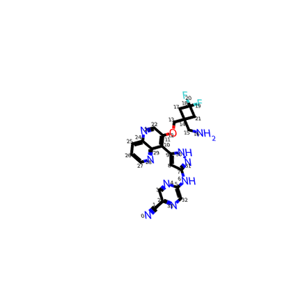 N#Cc1cnc(Nc2cc(-c3c(OCC4(CN)CC(F)(F)C4)cnc4cccnc34)[nH]n2)cn1